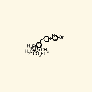 CCOC(=O)C(C)(C)Oc1c(C)cc(CN2CCN(c3ccc(Br)cn3)CC2)cc1C